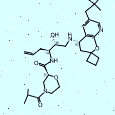 C=CC[C@H](NC(=O)[C@@H]1CN(C(=O)C(C)C)CCO1)[C@H](O)CN[C@H]1CC2(CCC2)Oc2ncc(CC(C)(C)C)cc21